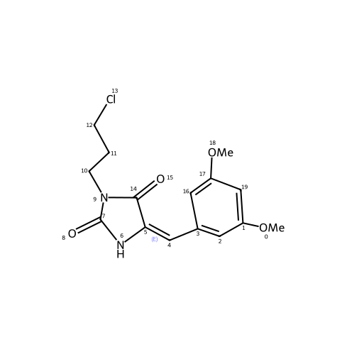 COc1cc(/C=C2/NC(=O)N(CCCCl)C2=O)cc(OC)c1